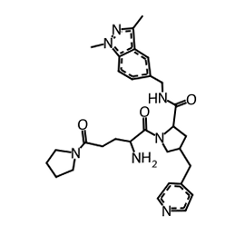 Cc1nn(C)c2ccc(CNC(=O)C3CC(Cc4ccncc4)CN3C(=O)C(N)CCC(=O)N3CCCC3)cc12